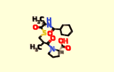 CC(CSC(=O)[C@@H](C)NC(=O)C1CCCCC1)C(=O)N1CCC[C@H]1C(=O)O